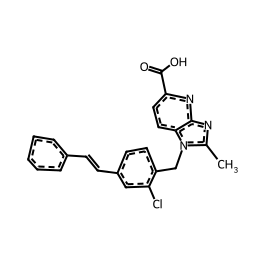 Cc1nc2nc(C(=O)O)ccc2n1Cc1ccc(C=Cc2ccccc2)cc1Cl